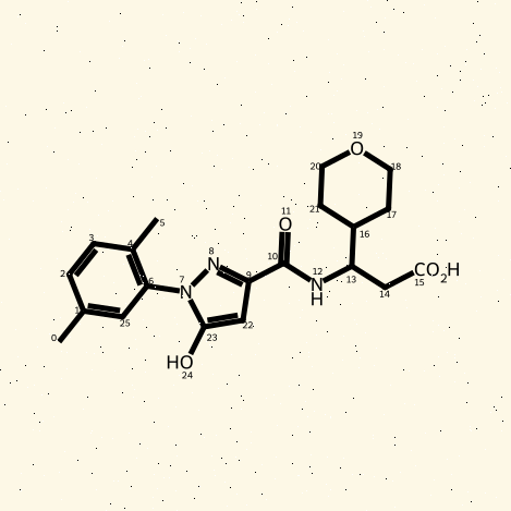 Cc1ccc(C)c(-n2nc(C(=O)NC(CC(=O)O)C3CCOCC3)cc2O)c1